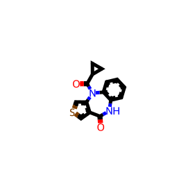 O=C1Nc2ccccc2N(C(=O)C2CC2)c2cscc21